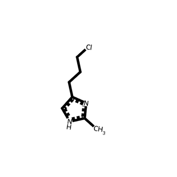 Cc1nc(CCCCl)c[nH]1